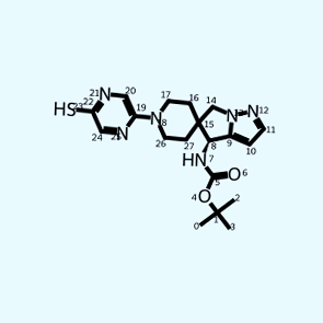 CC(C)(C)OC(=O)N[C@@H]1c2ccnn2CC12CCN(c1cnc(S)cn1)CC2